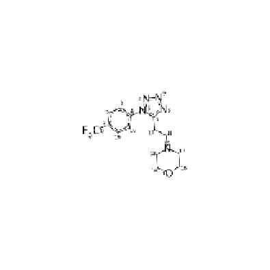 FC(F)(F)c1ccc(-n2nnnc2CCN2CCOCC2)cc1